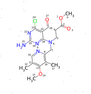 COC(=O)CCN(Cc1ncc(C)c(OC)c1C)c1nc(N)nc(Cl)c1C=O